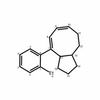 CCc1ccccc1/C1=C/C=C\CCC2CCC[C]12